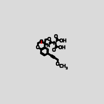 COCC#Cc1ccc2c(c1)C1(COC(N(C(=O)O)C(=O)O)=N1)C1(COC1)CO2